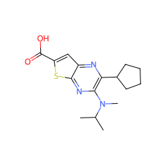 CC(C)N(C)c1nc2sc(C(=O)O)cc2nc1C1CCCC1